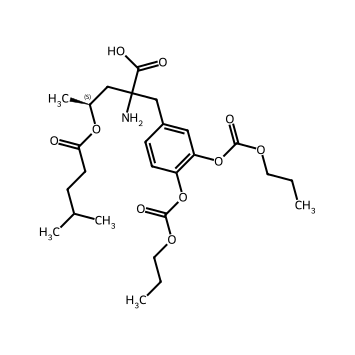 CCCOC(=O)Oc1ccc(CC(N)(C[C@H](C)OC(=O)CCC(C)C)C(=O)O)cc1OC(=O)OCCC